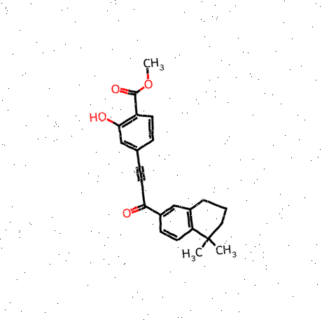 COC(=O)c1ccc(C#CC(=O)c2ccc3c(c2)CCCC3(C)C)cc1O